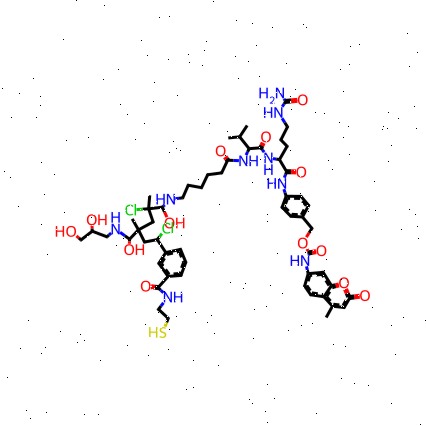 Cc1cc(=O)oc2cc(NC(=O)OCc3ccc(NC(=O)C(CCCNC(N)=O)NC(=O)C(NC(=O)CCCCCNC(O)C(C)(Cl)CC(C)(CC(Cl)c4cccc(C(=O)NCCS)c4)C(O)NCC(O)CO)C(C)C)cc3)ccc12